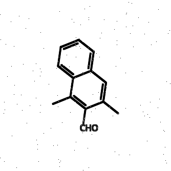 Cc1cc2ccccc2c(C)c1C=O